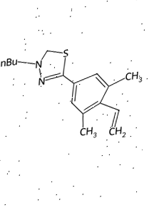 C=Cc1c(C)cc(C2=NN(CCCC)CS2)cc1C